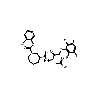 O=C(O)C[C@H](NC(=O)[C@H]1CCCCN(C(=O)Oc2ccccc2Cl)C1)C(=O)COc1c(F)c(F)cc(F)c1F